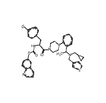 CC(c1ccccc1N1CCN(C(=O)C(Cc2ccc(Cl)cc2)NC(=O)Oc2ccc3ncccc3c2)CC1)N(Cc1ccsc1)CC1CC1